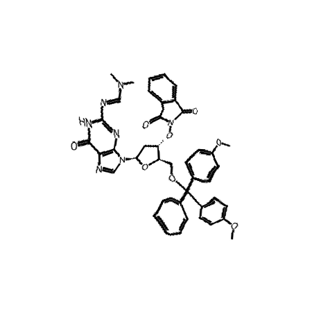 COc1ccc(C(OC[C@H]2O[C@@H](n3cnc4c(=O)[nH]c(N=CN(C)C)nc43)C[C@@H]2ON2C(=O)c3ccccc3C2=O)(c2ccccc2)c2ccc(OC)cc2)cc1